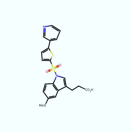 COc1ccc2c(c1)c(CCC(=O)O)cn2S(=O)(=O)c1ccc(-c2cccnc2)s1